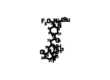 CC(C)(C)c1nc2c(c(C(F)(F)F)n1)CCN(C(=O)C[C@H](N)CN1C(=O)CCC(F)(F)C1O)C2